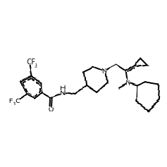 CN(C(CN1CCC(CNC(=O)c2cc(C(F)(F)F)cc(C(F)(F)F)c2)CC1)=C1CC1)C1CCCCC1